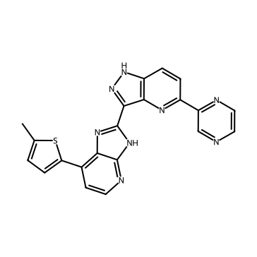 Cc1ccc(-c2ccnc3[nH]c(-c4n[nH]c5ccc(-c6cnccn6)nc45)nc23)s1